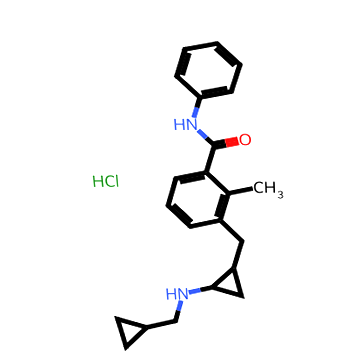 Cc1c(CC2CC2NCC2CC2)cccc1C(=O)Nc1ccccc1.Cl